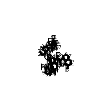 Cc1c(F)ccc2cccc(-c3c(F)c4nc(OC[C@]56CCCN5C[C@@H](OC(C(F)(F)F)(C(F)(F)F)C(F)(F)F)C6)nc5c4c([n+]3C)CC[C@@H]3[C@@H]4CC[C@H](CN53)N4)c12